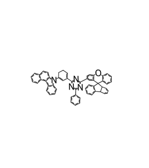 C1=CC2c3ccccc3C3(c4ccccc4Oc4ccc(-c5nc(C6=CCCC(n7c8ccccc8c8c9ccccc9ccc87)=C6)nc(-c6ccccc6)n5)cc43)C2C=C1